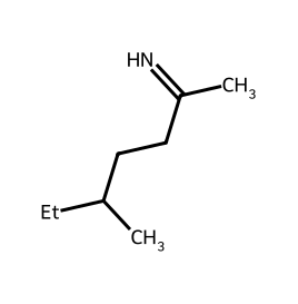 CCC(C)CCC(C)=N